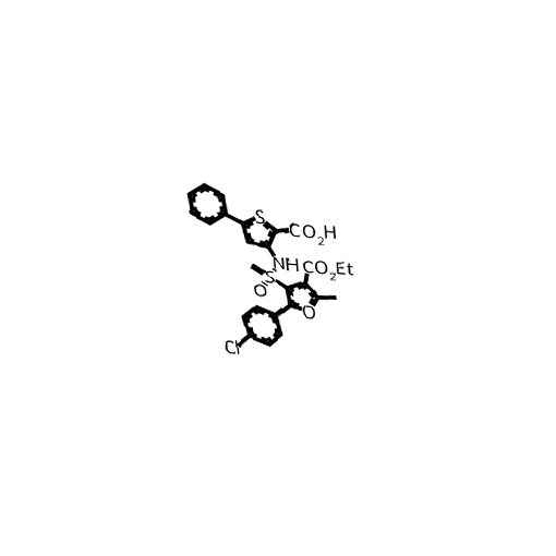 C=S(=O)(Nc1cc(-c2ccccc2)sc1C(=O)O)c1c(-c2ccc(Cl)cc2)oc(C)c1C(=O)OCC